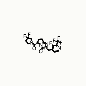 O=C([C@H]1CCc2nn(Cc3ccnc(C(F)(F)F)c3F)c(=O)n21)N1CCC(F)(F)C1